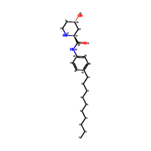 CCCCCCCCCCc1ccc(NC(=O)[C@@H]2C[C@@H](O)CCN2)cc1